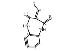 O=C1Nc2c#cccc2NC(=O)/C1=C/I